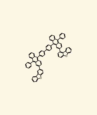 c1ccc(-c2c3ccccc3c(-c3ccc(-c4ccc(-c5c6ccccc6c(-c6ccccc6)c6cc(-c7ccc8oc9ccccc9c8c7)ccc56)cc4)cc3)c3cc(-c4cccc5oc6ccccc6c45)ccc23)cc1